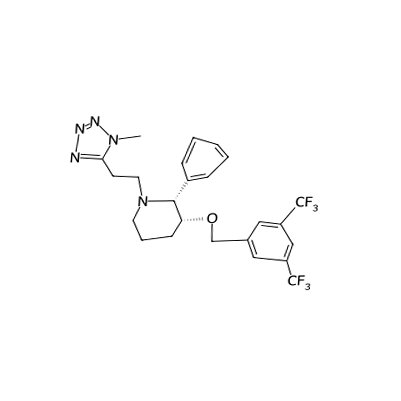 Cn1nnnc1CCN1CCC[C@@H](OCc2cc(C(F)(F)F)cc(C(F)(F)F)c2)[C@H]1c1ccccc1